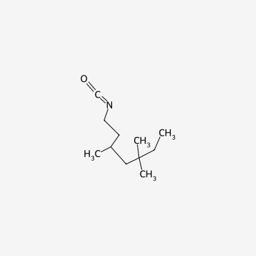 CCC(C)(C)CC(C)CCN=C=O